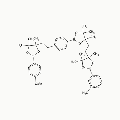 COc1ccc(B2OC(C)(C)C(C)(CCc3ccc(B4OC(C)(C)C(C)(CCC5(C)OB(c6cccc(C)c6)OC5(C)C)O4)cc3)O2)cc1